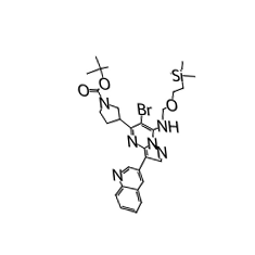 CC(C)(C)OC(=O)N1CCC(c2nc3c(-c4cnc5ccccc5c4)cnn3c(NCOCC[Si](C)(C)C)c2Br)C1